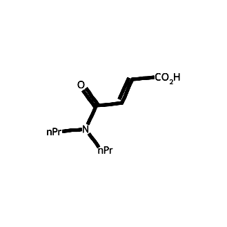 CCCN(CCC)C(=O)C=CC(=O)O